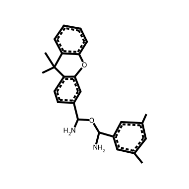 Cc1cc(C)cc(C(N)OC(N)c2ccc3c(c2)Oc2ccccc2C3(C)C)c1